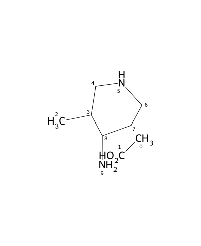 CC(=O)O.CC1CNCCC1N